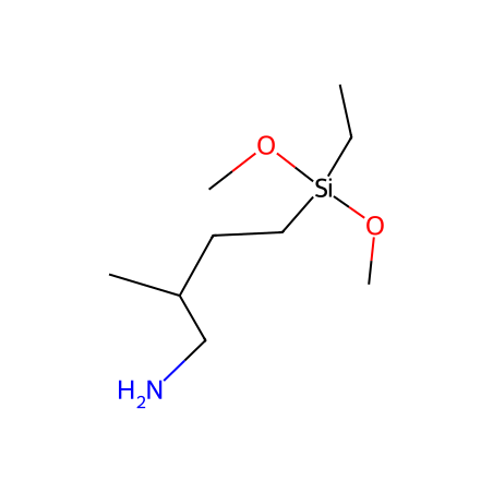 CC[Si](CCC(C)CN)(OC)OC